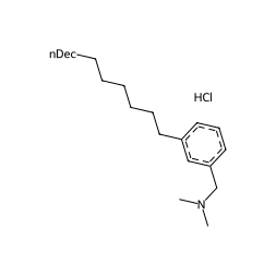 CCCCCCCCCCCCCCCCc1cccc(CN(C)C)c1.Cl